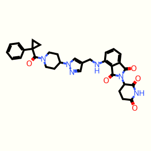 O=C1CCC(N2C(=O)c3cccc(NCc4cnn(C5CCN(C(=O)C6(c7ccccc7)CC6)CC5)c4)c3C2=O)C(=O)N1